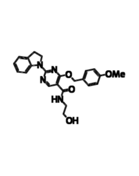 COc1ccc(COc2nc(N3CCc4ccccc43)ncc2C(=O)NCCO)cc1